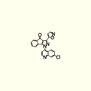 O=C1c2ccccc2-c2c1c(-c1ccno1)nn2-c1ccnc2cc(Cl)ccc12